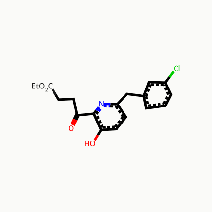 CCOC(=O)CCC(=O)c1nc(Cc2cccc(Cl)c2)ccc1O